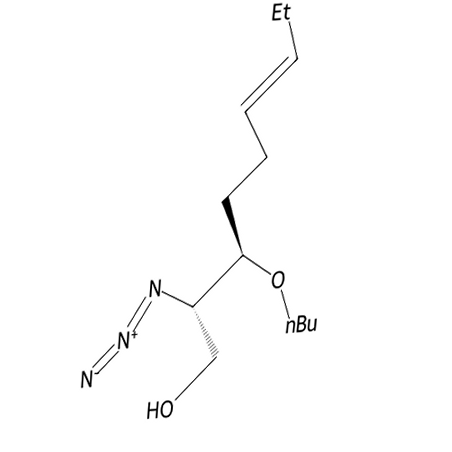 CC/C=C/CC[C@@H](OCCCC)[C@H](CO)N=[N+]=[N-]